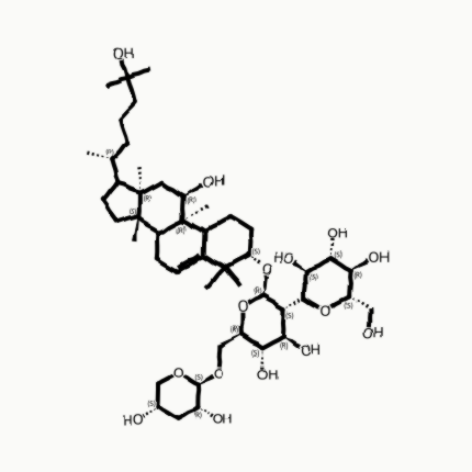 C[C@H](CCCC(C)(C)O)C1CC[C@@]2(C)C3CC=C4C(CC[C@H](O[C@@H]5O[C@H](CO[C@@H]6OC[C@@H](O)C[C@H]6O)[C@@H](O)[C@H](O)[C@H]5C5O[C@@H](CO)[C@H](O)[C@@H](O)[C@@H]5O)C4(C)C)[C@]3(C)[C@H](O)C[C@]12C